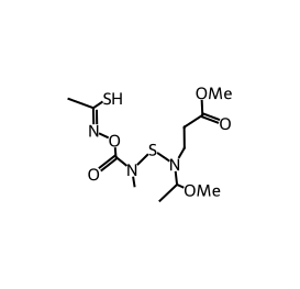 COC(=O)CCN(SN(C)C(=O)ON=C(C)S)C(C)OC